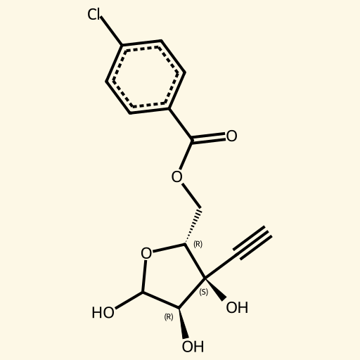 C#C[C@@]1(O)[C@@H](COC(=O)c2ccc(Cl)cc2)OC(O)[C@@H]1O